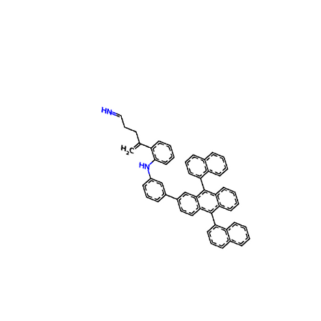 C=C(CCC=N)c1ccccc1Nc1cccc(-c2ccc3c(-c4cccc5ccccc45)c4ccccc4c(-c4cccc5ccccc45)c3c2)c1